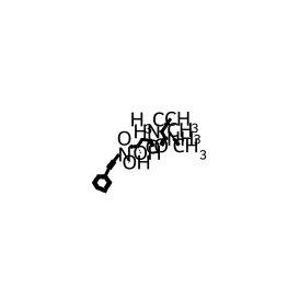 CNC(=O)[C@@H](NC(=O)C[C@H](O)C(=O)N(O)CC#Cc1ccccc1)C(C)(C)C